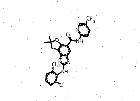 CC1(C)Cc2c(c(C(=O)Nc3ccc(C(F)(F)F)cn3)cc3nc(Nc4c(Cl)cccc4Cl)[nH]c23)O1